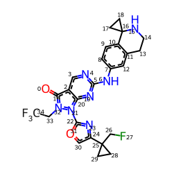 O=c1c2cnc(Nc3ccc4c(c3)CCNC43CC3)nc2n(-c2nc(C3(CF)CC3)co2)n1CC(F)(F)F